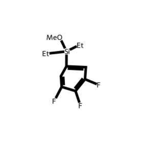 CC[Si](CC)(OC)c1cc(F)c(F)c(F)c1